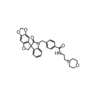 O=C(NCCN1CCOCC1)c1ccc(CN2C(=O)C3(COc4cc5c(cc43)OCO5)c3ccccc32)cc1